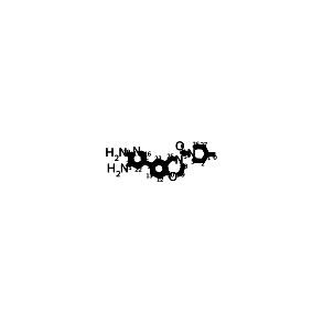 CC1CCN(C(=O)N2CCOc3ccc(-c4cnc(N)c(N)c4)cc3C2)CC1